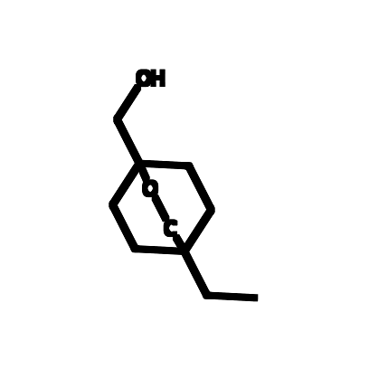 CCC12CCC(CO)(CC1)OC2